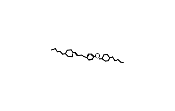 CCCCCC1CCC(C=CCCc2ccc(OCC3CCC(CCCCC)CC3)cc2)CC1